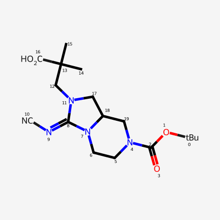 CC(C)(C)OC(=O)N1CCN2C(=NC#N)N(CC(C)(C)C(=O)O)CC2C1